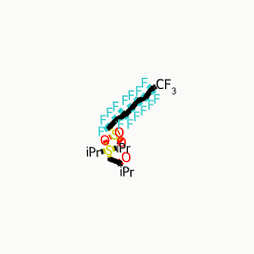 CC(C)C(=O)CS(OS(=O)(=O)C(F)(F)C(F)(F)C(F)(F)C(F)(F)C(F)(F)C(F)(F)C(F)(F)C(F)(F)F)(C(C)C)C(C)C